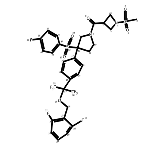 CS(=O)(=O)N1CC(C(=O)N2CCC(c3ccc(C(OCc4c(F)cccc4F)(C(F)(F)F)C(F)(F)F)cc3)(S(=O)(=O)c3ccc(F)cc3)C2)C1